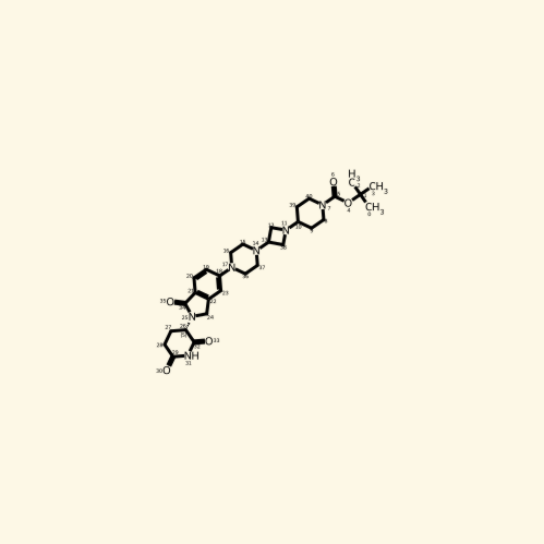 CC(C)(C)OC(=O)N1CCC(N2CC(N3CCN(c4ccc5c(c4)CN([C@H]4CCC(=O)NC4=O)C5=O)CC3)C2)CC1